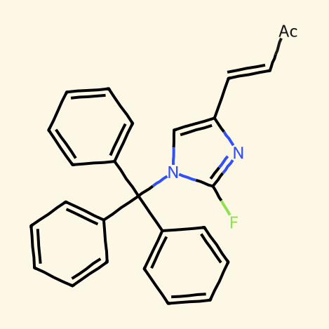 CC(=O)C=Cc1cn(C(c2ccccc2)(c2ccccc2)c2ccccc2)c(F)n1